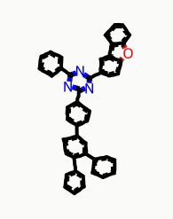 c1ccc(-c2nc(-c3ccc(-c4ccc(-c5ccccc5)c(-c5ccccc5)c4)cc3)nc(-c3ccc4oc5ccccc5c4c3)n2)cc1